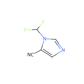 N#Cc1[c]n[c]n1C(F)F